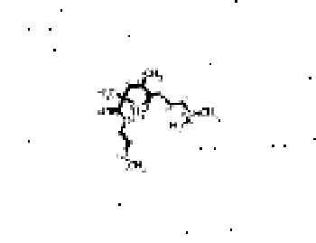 COCCOC(=O)C(C)(C)CC(C)C(=O)OCCN(C)C